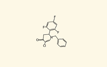 O=C1CC(c2c(F)cc(F)cc2F)N(Cc2ccccc2)C=C1Cl